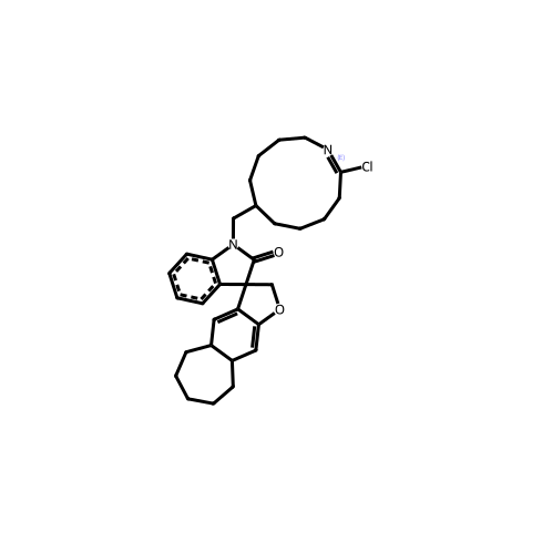 O=C1N(CC2CCCC/N=C(/Cl)CCCC2)c2ccccc2C12COC1=CC3CCCCCC3C=C12